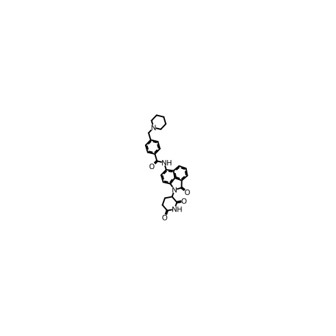 O=C1CCC(N2C(=O)c3cccc4c(NC(=O)c5ccc(CN6CCCCC6)cc5)ccc2c34)C(=O)N1